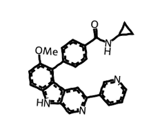 COc1ccc2[nH]c3cnc(-c4cccnc4)cc3c2c1-c1ccc(C(=O)NC2CC2)cc1